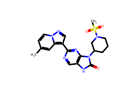 Cc1ccn2ncc(-c3ncc4[nH]c(=O)n(C5CCCN(S(C)(=O)=O)C5)c4n3)c2c1